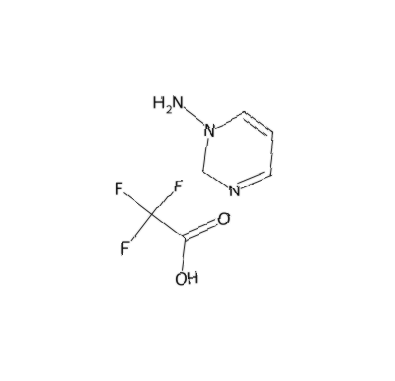 NN1C=CC=NC1.O=C(O)C(F)(F)F